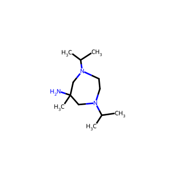 CC(C)N1CCN(C(C)C)CC(C)(N)C1